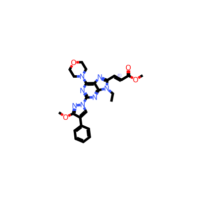 CCn1c(/C=C/C(=O)OC)nc2c(N3CCOCC3)nc(-n3cc(-c4ccccc4)c(OC)n3)nc21